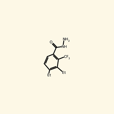 CCc1ccc(C(=O)NN)c(C(F)(F)F)c1CC